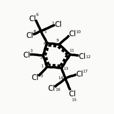 Clc1c(Cl)c(C(Cl)(Cl)Cl)c(Cl)c(Cl)c1C(Cl)(Cl)Cl